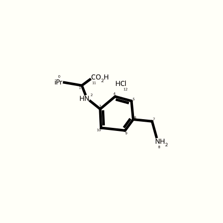 CC(C)C(Nc1ccc(CN)cc1)C(=O)O.Cl